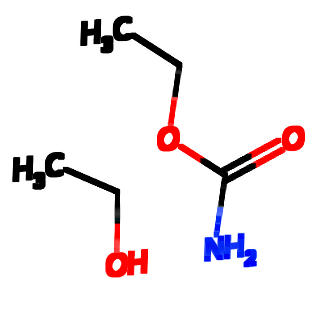 CCO.CCOC(N)=O